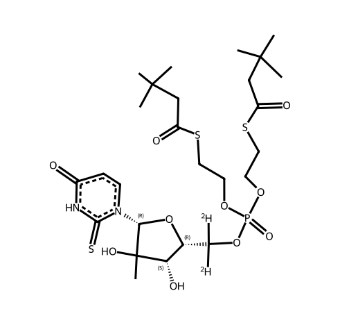 [2H]C([2H])(OP(=O)(OCCSC(=O)CC(C)(C)C)OCCSC(=O)CC(C)(C)C)[C@H]1O[C@@H](n2ccc(=O)[nH]c2=S)C(C)(O)[C@H]1O